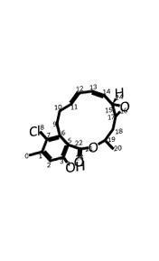 Cc1cc(O)c2c(c1Cl)CC/C=C/C=C\[C@@H]1OC1CC(C)OC2=O